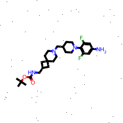 CC(C)(C)OC(=O)NCC1CC2(CCN(CC3CCN(c4c(F)cc(N)cc4F)CC3)CC2)C1